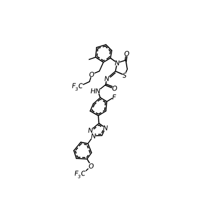 Cc1cccc(N2C(=O)CSC2=NC(=O)Nc2ccc(-c3ncn(-c4cccc(OC(F)(F)F)c4)n3)cc2F)c1COCC(F)(F)F